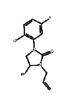 C=CCN1C(=O)N(c2cc(F)ccc2Cl)CC1C(C)C